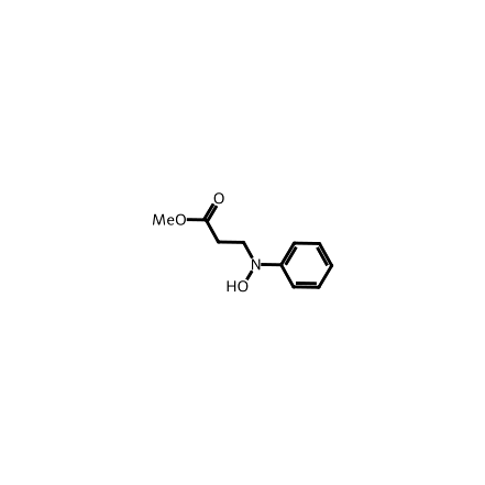 COC(=O)CCN(O)c1ccccc1